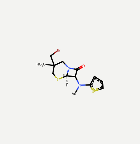 CC(=O)N(c1cccs1)C1C(=O)N2CC(CBr)(C(=O)O)CS[C@H]12